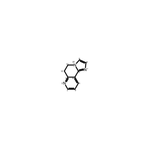 c1cnc2c(c1)-c1nccn1CC2